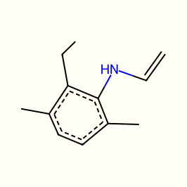 C=CNc1c(C)ccc(C)c1CC